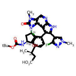 C[C@H](CC(=O)O)c1ccc(-c2c(-c3cn(C)nc3F)[nH]c3ncc4c(c23)n([C@@H]2C[C@@H](O)[C@@H](NC(=O)OC(C)(C)C)C2)c(=O)n4C)c(F)c1